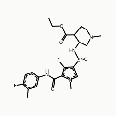 CCOC(=O)C1CCN(C)CC1N[S+]([O-])c1cn(C)c(C(=O)Nc2ccc(F)c(C)c2)c1F